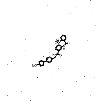 N#Cc1ccc(-c2ccc(CNC(=O)c3ccc4c(c3)NC(=O)c3ccccc3S4(=O)=O)nc2)cc1